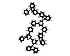 c1ccc(-c2cc(-c3ccccc3)nc(-c3nc(-n4c5ccccc5c5ccccc54)cc(-n4c5ccccc5c5cc(-c6cccc(-c7cc(-c8ccccc8)nc(-n8c9ccccc9c9ccc(-c%10ccc%11c(c%10)c%10ccccc%10n%11-c%10ccccc%10)cc98)n7)c6)ccc54)n3)n2)cc1